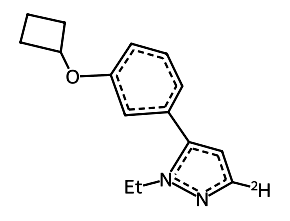 [2H]c1cc(-c2cccc(OC3CCC3)c2)n(CC)n1